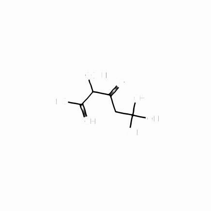 C=C(C)C(C(=O)O)C(=O)CC(C)(C)O